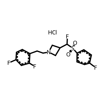 Cl.O=S(=O)(c1ccc(F)cc1)C(F)C1CN(CCc2ccc(F)cc2F)C1